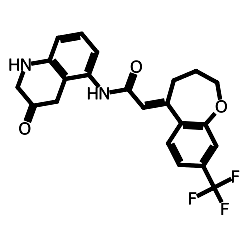 O=C1CNc2cccc(NC(=O)C=C3CCCOc4cc(C(F)(F)F)ccc43)c2C1